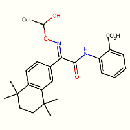 CCCCCCCCC(O)O/N=C(/C(=O)Nc1ccccc1C(=O)O)c1ccc2c(c1)C(C)(C)CCC2(C)C